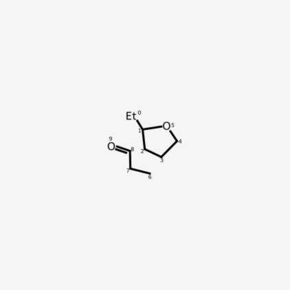 CCC1CCCO1.CCC=O